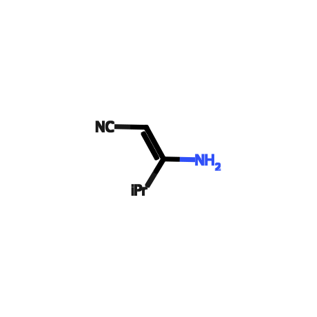 CC(C)/C(N)=C\C#N